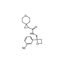 N#Cc1cccc([C@]2(CNC(=O)C3CC34CCOCC4)CCO2)c1